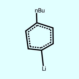 [Li][c]1ccc(CCCC)cc1